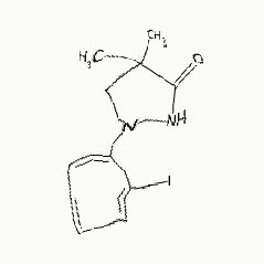 CC1(C)CN(c2ccccc2I)NC1=O